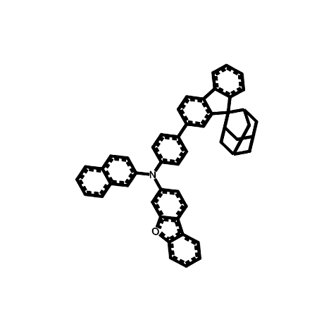 c1ccc2c(c1)-c1ccc(-c3ccc(N(c4ccc5ccccc5c4)c4ccc5c(c4)oc4ccccc45)cc3)cc1C21C2CC3CC(C2)CC1C3